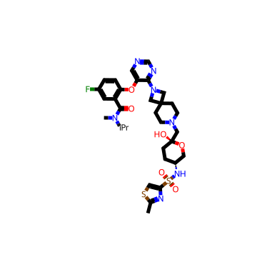 Cc1nc(S(=O)(=O)N[C@@H]2CC[C@](O)(CN3CCC4(CC3)CN(c3ncncc3Oc3ccc(F)cc3C(=O)N(C)C(C)C)C4)OC2)cs1